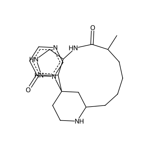 CC1CCCCC2CC(n3cnccc3=O)(CCN2)C2NNCC2NC1=O